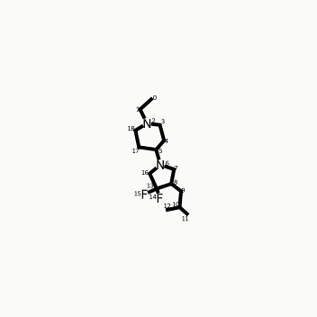 CCN1CCC(N2CC(CC(C)C)C(F)(F)C2)CC1